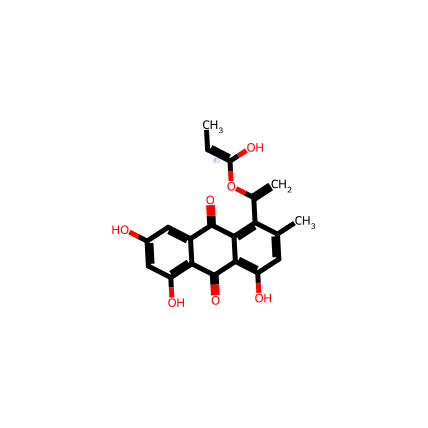 C=C(O/C(O)=C/C)c1c(C)cc(O)c2c1C(=O)c1cc(O)cc(O)c1C2=O